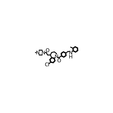 Cc1ccccc1NCc1ccc(C(=O)N2CCCC(CC(=O)N3CCN(C)CC3)c3cc(Cl)ccc32)cc1